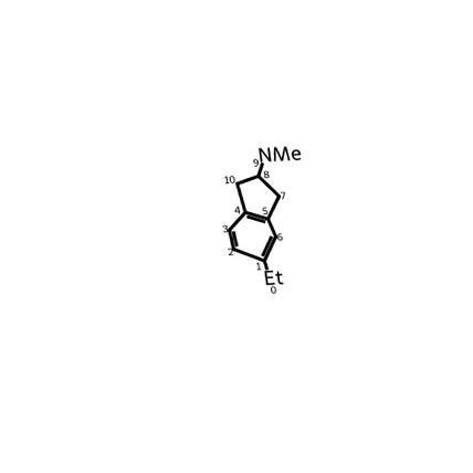 CCc1ccc2c(c1)CC(NC)C2